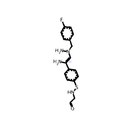 N/C(=C\N(N)Cc1ccc(F)cc1)c1ccc(SNCC=O)cc1